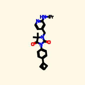 CC(C)Nc1cc(CN2C(=O)N(c3ccc(C45CC(C4)C5)cc3)C(=O)C2(C)C)ccn1